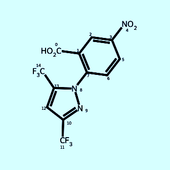 O=C(O)c1cc([N+](=O)[O-])ccc1-n1nc(C(F)(F)F)cc1C(F)(F)F